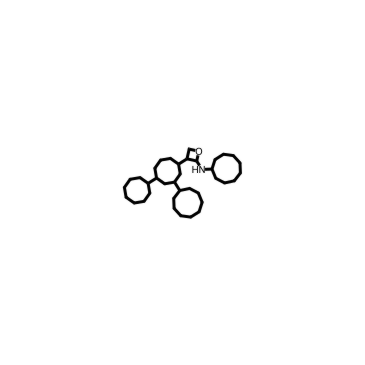 C1CCCCC(NC2OCC2C2CCCC(C3CCCCCCC3)CC(C3CCCCCCCC3)C2)CCC1